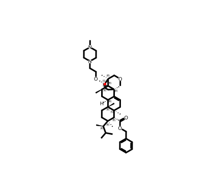 CC(C)[C@@H](C)[C@@]1(C)CC[C@]2(C)[C@H]3CC[C@@H]4[C@@]5(COC[C@]4(C)[C@@H](OCCN4CCN(C)CC4)[C@H](C)C5)C3=CC[C@@]2(C)[C@@H]1C(=O)OCc1ccccc1